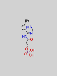 CC(C)c1ccc2c(NC(=O)CCOP(=O)(O)O)ncnn12